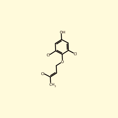 CC(Cl)=CCOc1c(Cl)cc(O)cc1Cl